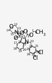 CCOC(=O)c1c(S(=O)(=O)N2CCOCC2)c2ccccc2n1Cc1ccc(Cl)c(Cl)c1